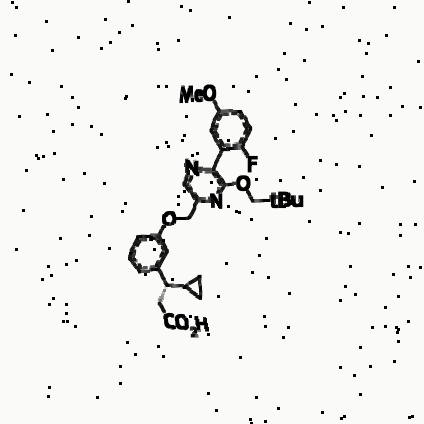 COc1ccc(F)c(-c2ncc(COc3cccc([C@@H](CC(=O)O)C4CC4)c3)nc2OCC(C)(C)C)c1